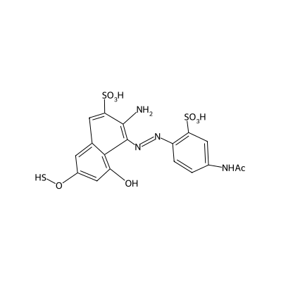 CC(=O)Nc1ccc(N=Nc2c(N)c(S(=O)(=O)O)cc3cc(OS)cc(O)c23)c(S(=O)(=O)O)c1